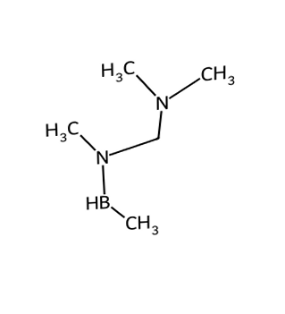 CBN(C)CN(C)C